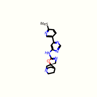 CSc1ccc(-c2cc(NC3=NC[C@@]4(CN5CCC4CC5)O3)ncn2)cn1